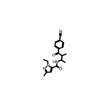 CCn1nc(C)cc1C(=O)NC(C)C(C)C(=O)c1ccc(C#N)cc1